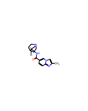 Cc1cn2cc(C(=O)N[C@H]3CN4CCC3CC4)ccc2n1